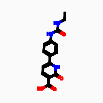 CCNC(=O)Nc1ccc(-c2ccc(C(=O)O)c(=O)[nH]2)cc1